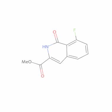 COC(=O)c1cc2cccc(F)c2c(=O)[nH]1